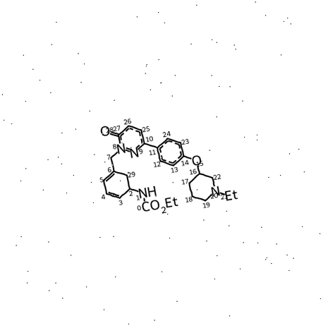 CCOC(=O)NC1C=CC=C(Cn2nc(-c3ccc(OC4CCCN(CC)C4)cc3)ccc2=O)C1